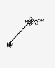 O=C(O)CCCS(=O)(=O)NC(=O)CCCCCCCCCCCCCCCC1N=NN=N1